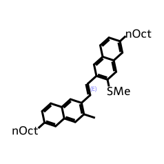 CCCCCCCCc1ccc2cc(/C=C/c3cc4ccc(CCCCCCCC)cc4cc3SC)c(C)cc2c1